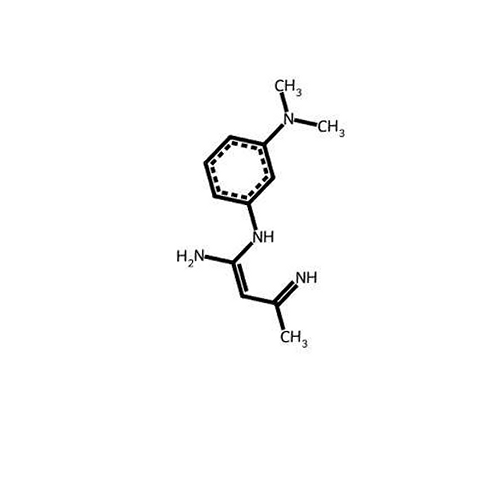 CC(=N)/C=C(/N)Nc1cccc(N(C)C)c1